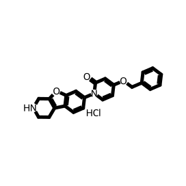 Cl.O=c1cc(OCc2ccccc2)ccn1-c1ccc2c3c(oc2c1)CNCC3